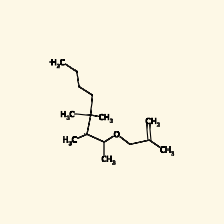 [CH2]CCCC(C)(C)[C](C)C(C)OCC(=C)C